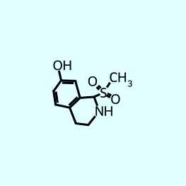 CS(=O)(=O)C1NCCc2ccc(O)cc21